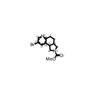 COC(=O)N1CC2CCc3ncc(Br)cc3C2C1